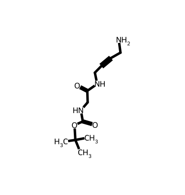 CC(C)(C)OC(=O)NCC(=O)NCC#CCN